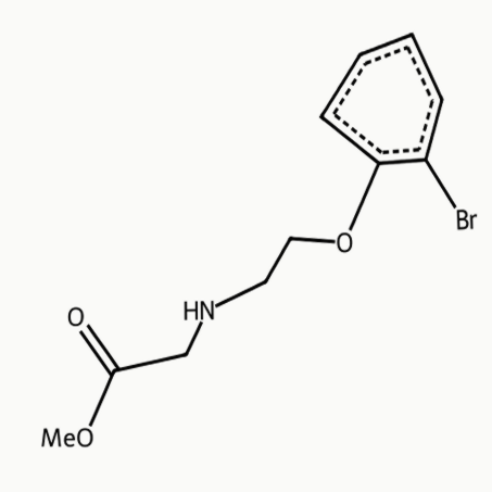 COC(=O)CNCCOc1ccccc1Br